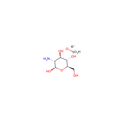 N[C@@H]1[C@@H](O)[C@H](O)[C@@H](CO)O[C@H]1O.O=S(=O)([O-])O.[K+]